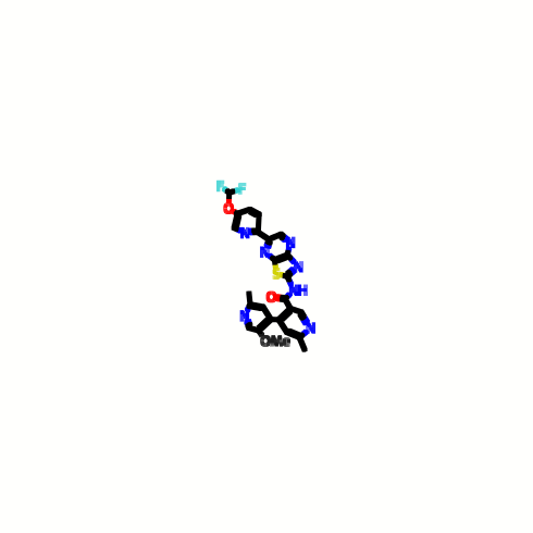 COc1cnc(C)cc1-c1cc(C)ncc1C(=O)Nc1nc2ncc(-c3ccc(OC(F)F)cn3)nc2s1